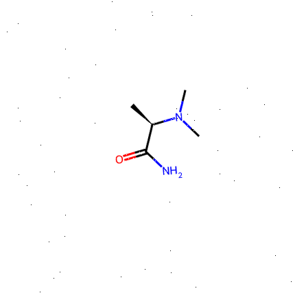 C[C@H](C(N)=O)N(C)C